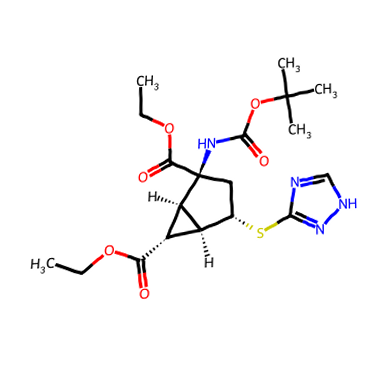 CCOC(=O)[C@H]1[C@H]2[C@@H]1[C@](NC(=O)OC(C)(C)C)(C(=O)OCC)C[C@@H]2Sc1nc[nH]n1